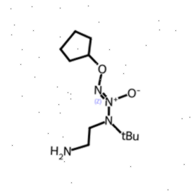 CC(C)(C)N(CCN)/[N+]([O-])=N/OC1CCCC1